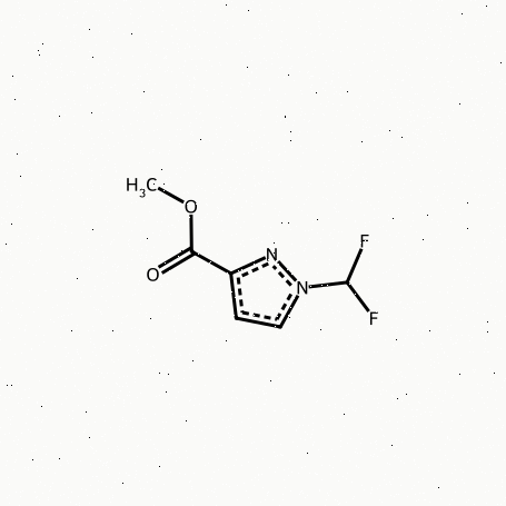 COC(=O)c1ccn(C(F)F)n1